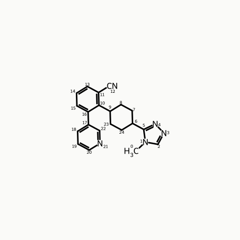 Cn1cnnc1C1CCC(c2c(C#N)cccc2-c2cccnc2)CC1